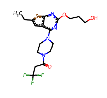 CCc1cc2c(N3CCN(C(=O)CC(F)(F)F)CC3)nc(OCCCO)nc2s1